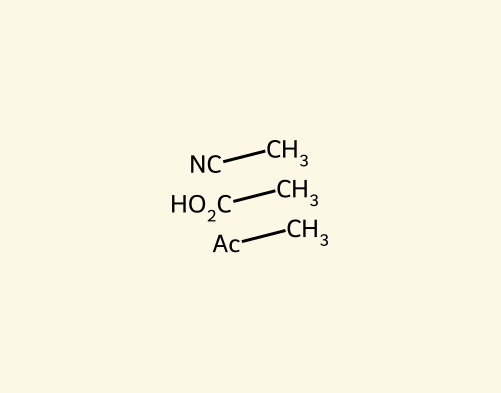 CC#N.CC(=O)O.CC(C)=O